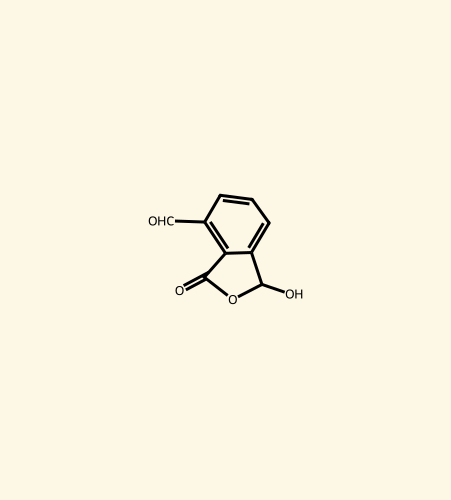 O=Cc1cccc2c1C(=O)OC2O